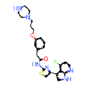 O=C(Cc1cccc(OCCCN2CCNCC2)c1)Nc1nc(-c2c[nH]c3nccc(F)c23)cs1